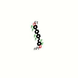 CCCOc1ccc(CCc2ccc(C3=CCC(c4ccc(OCC)c(F)c4F)CC3)c(F)c2F)c(F)c1F